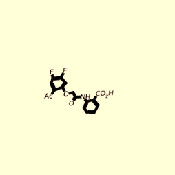 CC(=O)c1cc(F)c(F)cc1OCC(=O)Nc1ccccc1C(=O)O